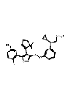 CC1(C)CCC=C1c1c(COc2cccc(C(CC(=O)O)C3CC3)c2)csc1-c1cc(C#N)ccc1F